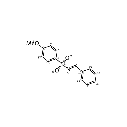 COc1ccc(S(=O)(=O)/N=C/c2ccccc2)cc1